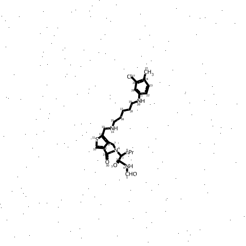 CCCC(C(=O)NC=O)N1Cc2c(csc2CNCCCCCNc2ccc(C)c(Cl)c2)C1=O